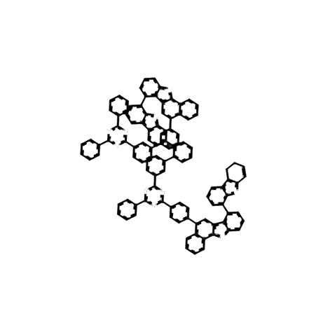 C1=Cc2sc3c(-c4cccc5oc6c7ccccc7c(-c7ccc(-c8nc(-c9ccccc9)nc(-c9cccc(-c%10ccccc%10-c%10ccc%11c(c%10)sc%10c(-c%12cccc%13oc%14c%15ccccc%15c(-c%15cccc(-c%16cccc(-c%17nc(-c%18ccccc%18)nc(-c%18ccccc%18)n%17)c%16)c%15)cc%14c%12%13)cccc%10%11)c9)n8)cc7)cc6c45)cccc3c2CC1